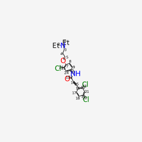 CCN(CC)CCCOc1ccc(NC(=O)C#Cc2ccc(Cl)cc2Cl)cc1Cl